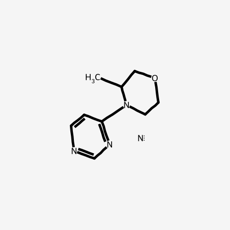 CC1COCCN1c1ccncn1.[N]